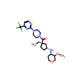 CC[C@]1(C(=O)N2CCN(c3nccc(C(F)(F)F)n3)CC2)CC[C@@H](N[C@@H]2CCOCC2OC)C1